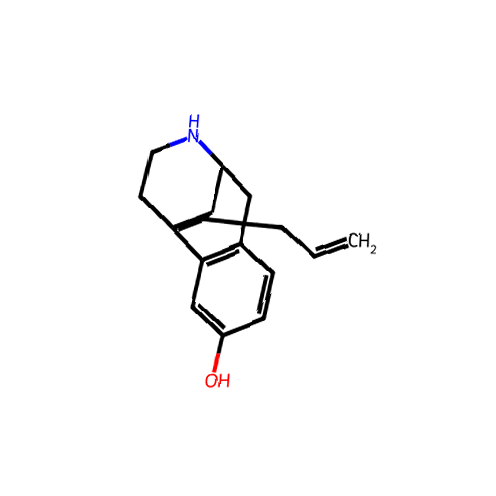 C=CCC1CCCC23CCNC(Cc4ccc(O)cc42)C13